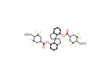 CCCCCCCCC1C(F)(F)CC(C(=O)Oc2cccc3c2C2(CC3)CCc3cccc(OC(=O)C4CC(F)(F)C(CCCCCCCC)C(F)(F)C4)c32)CC1(F)F